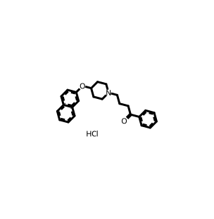 Cl.O=C(CCCN1CCC(Oc2ccc3ccccc3c2)CC1)c1ccccc1